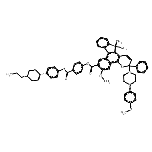 CCC[C@H]1CC[C@H](c2ccc(OC(=O)c3ccc(OC(=O)c4cc5c6c(c7c(c5cc4OC)OC(c4ccccc4)(N4CCN(c5ccc(OC)cc5)CC4)C=C7)C(C)(C)c4ccccc4-6)cc3)cc2)CC1